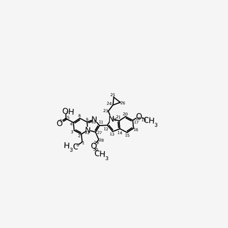 CCc1cc(C(=O)O)cc2nc(-c3cc4ccc(OC)cc4n3CC3CC3)c(COC)n12